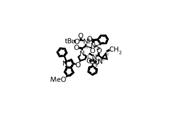 C=C[C@@H]1C[C@]1(N)C(=O)N(C(=O)[C@@H]1CC(Oc2cc(-c3ccccc3)nc3cc(OC)ccc23)CN1C(=O)[C@H](Cn1sc2ccccc2c1=O)NC(=O)OC(C)(C)C)S(=O)(=O)c1ccccc1